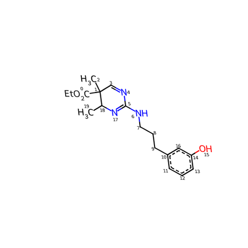 CCOC(=O)C1(C)C=NC(NCCCc2cccc(O)c2)=NC1C